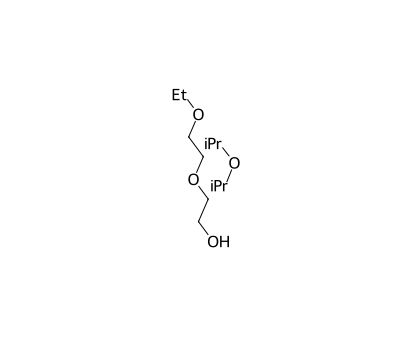 CC(C)OC(C)C.CCOCCOCCO